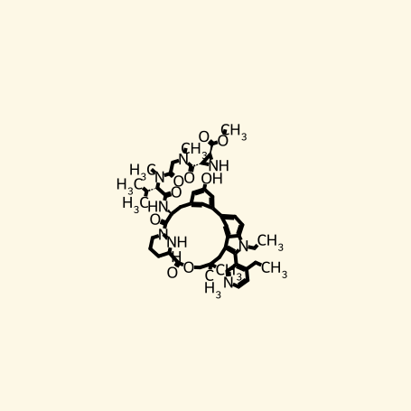 CCc1ccncc1-c1c2c3cc(ccc3n1CC)-c1cc(O)cc(c1)C[C@H](NC(=O)[C@H](C(C)C)N(C)C(=O)CN(C)C(=O)[C@H]1N[C@@H]1C(=O)OC)C(=O)N1CCC[C@H](N1)C(=O)OCC(C)(C)C2